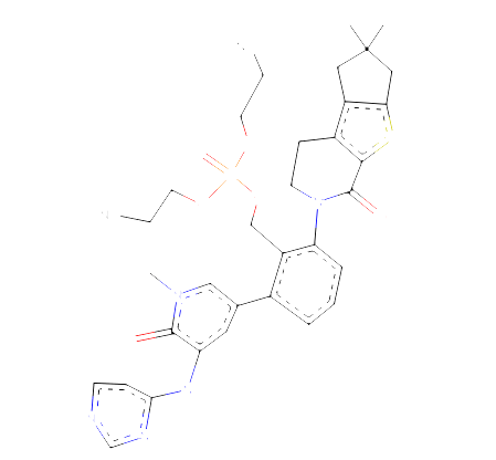 Cn1cc(-c2cccc(N3CCc4c(sc5c4CC(C)(C)C5)C3=O)c2COP(=O)(OCCC#N)OCCC#N)cc(Nc2ccncn2)c1=O